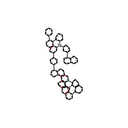 c1ccc(-c2ccccc2-c2ccccc2N(c2cccc(-c3ccc(-c4cccc5c(-c6cccc(N(c7ccccc7-c7ccccc7)c7ccccc7-c7ccccc7-c7ccccc7)c6)cccc45)cc3)c2)c2cccc(-c3cccc4ccccc34)c2)cc1